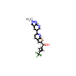 Cn1cc2cc(-c3ccc4cc(C(O)C56CC(C(F)(F)F)(C5)C6)sc4n3)cnc2n1